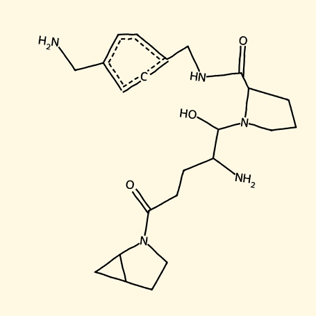 NCc1ccc(CNC(=O)C2CCCN2C(O)C(N)CCC(=O)N2CCC3CC32)cc1